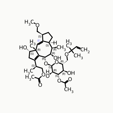 C=CC(C)(C)OC[C@H]1O[C@H](O[C@@H]2C3=C([C@H](C)COC(C)=O)C[C@H](O)[C@]3(C)/C=C3/[C@@H](COC)CC[C@H]3[C@@H](C)[C@H]2O)[C@H](O)[C@@H](OC(C)=O)[C@@H]1O